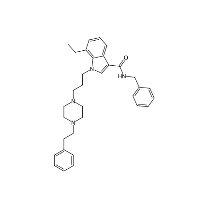 CCc1cccc2c(C(=O)NCc3ccccc3)cn(CCCN3CCN(CCc4ccccc4)CC3)c12